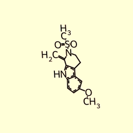 C=C1c2[nH]c3ccc(OC)cc3c2CCN1S(C)(=O)=O